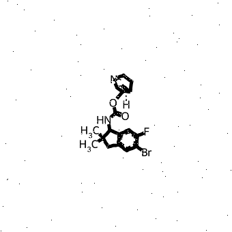 CC1(C)Cc2cc(Br)c(F)cc2C1NC(=O)O[C@H]1CN2CCC1CC2